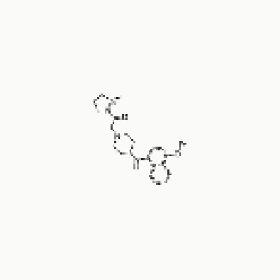 CCOc1ccc(NC2CCN(CC(=O)N3CCC[C@H]3C)CC2)c2cccnc12